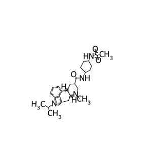 CC(C)n1cc2c3c(cccc31)[C@H]1CC(C(=O)NC3CCC(NS(C)(=O)=O)CC3)CN(C)[C@@H]1C2